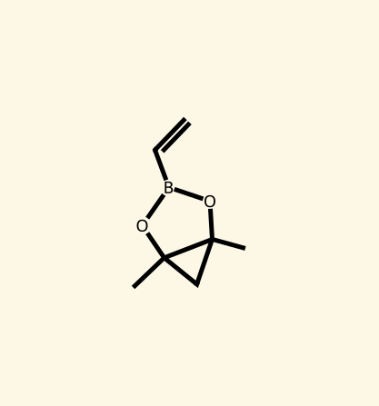 C=CB1OC2(C)CC2(C)O1